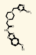 CCOc1ccc2nc(NC(=O)CN3CCN(Cc4cnc(N)s4)CC3)sc2c1